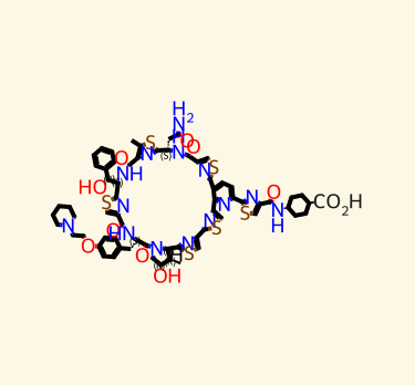 Cc1sc2nc1C(=O)N[C@@H]([C@H](O)c1ccccc1)c1nc(cs1)C(=O)N[C@@H](Cc1ccc(OCCN3CCCCC3)cc1)C(=O)N1C[C@H](O)[C@H](C)[C@H]1c1nc(cs1)-c1nc(cs1)-c1nc(-c3nc(C(=O)N[C@H]4CC[C@H](C(=O)O)CC4)cs3)ccc1-c1nc(cs1)C(=O)N[C@H]2CC(N)=O